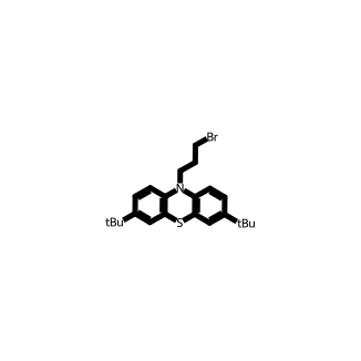 CC(C)(C)c1ccc2c(c1)Sc1cc(C(C)(C)C)ccc1N2CCCBr